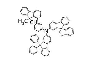 CC1(C)c2ccccc2-c2cccc(-c3cccc(N(c4ccc5c(c4)C4(CCc6ccccc64)c4ccccc4-5)c4ccc5c(c4)C(c4ccccc4)(c4ccccc4)c4ccccc4-5)c3)c21